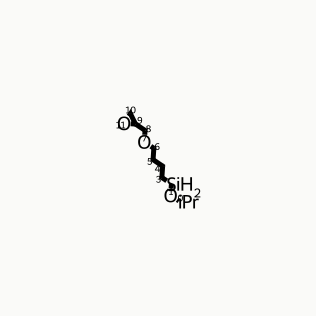 CC(C)O[SiH2]CCCCOCC1CO1